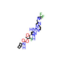 O=C(NC1CC2CCC21)O[C@H]1CO[C@@H](c2cc(Nc3nccc4nc(CN5CC(F)(F)C5)cn34)n[nH]2)[C@H]1F